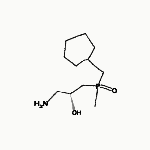 CP(=O)(CC1CCCCC1)C[C@H](O)CN